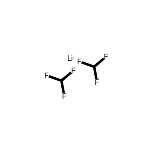 F[C](F)F.F[C](F)F.[Li]